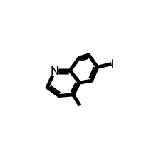 Cc1ccnc2ccc(I)cc12